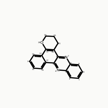 c1ccc2nc3c(nc2c1)c1c(c2ccccc23)OCCC1